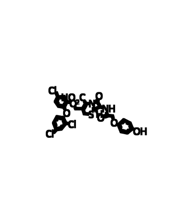 O=C(COc1ccc(O)cc1)NC1C(=O)N2C(C(=O)O)=C(COc3cc(Cl)ccc3Oc3ccc(Cl)cc3Cl)CS[C@H]12